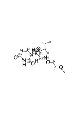 CC[C@@]12CN(OCCOC)[C@@H]([C@H](n3ccc(=O)[nH]c3=O)O1)[C@@H]2O